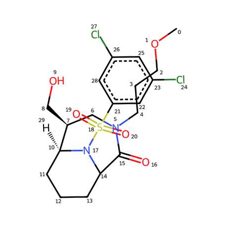 COCCCN1C[C@H](CO)[C@@H]2CCCC(C1=O)N2S(=O)(=O)c1cc(Cl)cc(Cl)c1